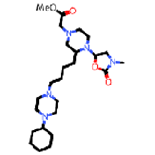 COC(=O)CN1CCN(C2CN(C)C(=O)O2)C(CCCCN2CCN(C3CCCCC3)CC2)C1